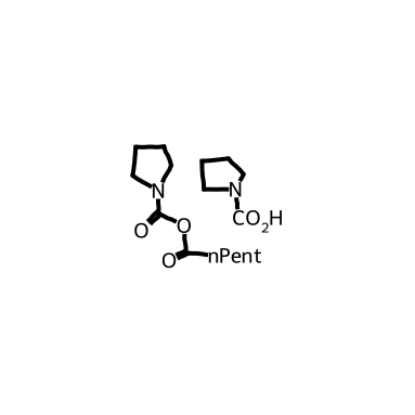 CCCCCC(=O)OC(=O)N1CCCC1.O=C(O)N1CCCC1